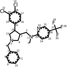 CN(CC1CN(Cc2ccccc2)CC1c1ccc(Cl)c(Cl)c1)c1ccc(C(F)(F)F)cn1